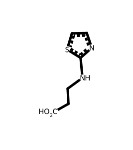 O=C(O)CCNc1nccs1